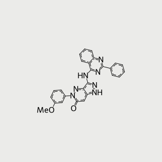 COc1cccc(-n2nc3c(Nc4nc(-c5ccccc5)nc5ccccc45)n[nH]c3cc2=O)c1